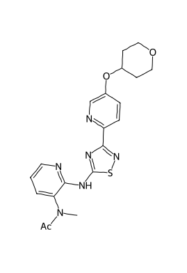 CC(=O)N(C)c1cccnc1Nc1nc(-c2ccc(OC3CCOCC3)cn2)ns1